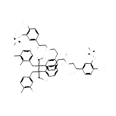 Cc1ccc(CC(C(N)=O)(c2cccc(C[C@@H](C)NC[C@@H](O)c3ccc(O)c(NS(C)(=O)=O)c3)c2)C(Cc2cccc(Cl)c2Cl)(C(N)=O)c2cccc(C[C@@H](C)NC[C@@H](O)c3ccc(O)c(NS(C)(=O)=O)c3)c2)cc1Cl